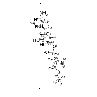 C[C@@H](OC(=O)OC1[C@H]2O[C@@](C)(c3ccc4c(N)ncnn34)[C@H](O)[C@@]12O)[C@@H](C(=O)OCC(C)(C)C)N(C)C